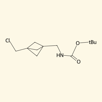 CC(C)(C)OC(=O)NCC12CC(CCl)(C1)C2